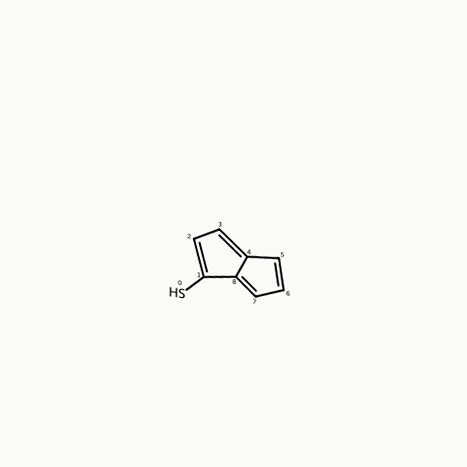 SC1=CC=C2C=CC=C12